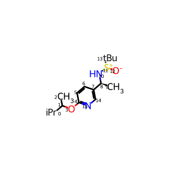 CC(C)C(C)Oc1ccc([C@H](C)N[S@+]([O-])C(C)(C)C)cn1